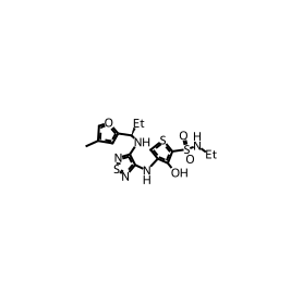 CCNS(=O)(=O)c1scc(Nc2nsnc2N[C@H](CC)c2cc(C)co2)c1O